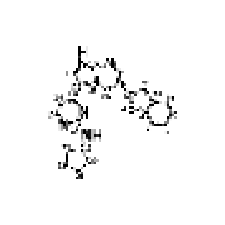 c1ccc2sc(-c3cnc4[nH]cc(-c5ccnc(NC6CCCC6)n5)c4c3)cc2c1